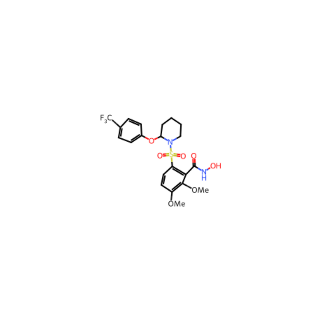 COc1ccc(S(=O)(=O)N2CCCCC2Oc2ccc(C(F)(F)F)cc2)c(C(=O)NO)c1OC